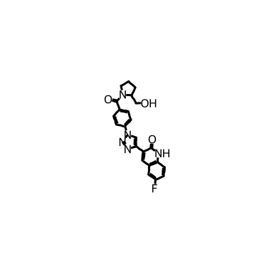 O=C(c1ccc(-n2cc(-c3cc4cc(F)ccc4[nH]c3=O)nn2)cc1)N1CCCC1CO